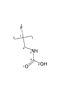 CC(C)(F)CNC(=O)O